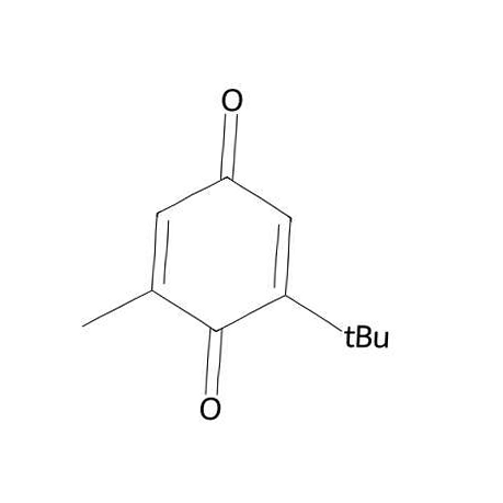 CC1=CC(=O)C=C(C(C)(C)C)C1=O